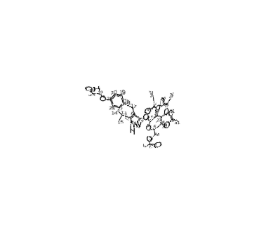 CC(=O)OC[C@H]1O[C@@H](Oc2n[nH]c(C(C)C)c2Cc2ccc(OCCO)cc2)[C@H](OC(C)=O)[C@@H](OC(C)=O)[C@@H]1OC(C)=O